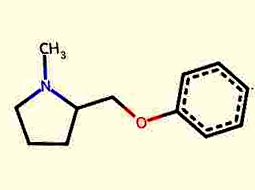 CN1CCCC1COc1cc[c]cc1